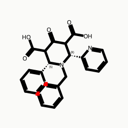 O=C(O)C1C(=O)C(C(=O)O)[C@H](c2ccccn2)N(Cc2ccccc2)[C@@H]1c1ccccn1